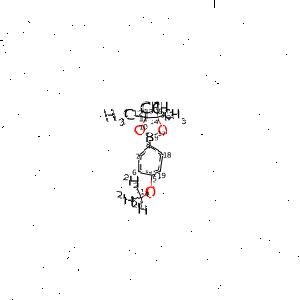 [2H]C([2H])([2H])Oc1ccc(B2OC(C)(C)C(C)(C)O2)cc1